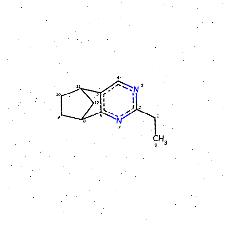 CCc1ncc2c(n1)C1CCC2C1